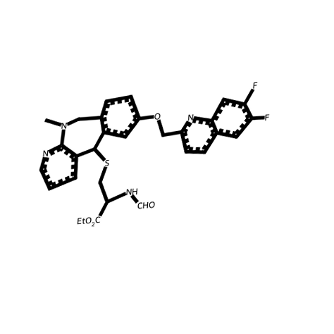 CCOC(=O)C(CSC1c2cc(OCc3ccc4cc(F)c(F)cc4n3)ccc2CN(C)c2ncccc21)NC=O